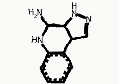 NC1Nc2ccccc2C2C=NNC12